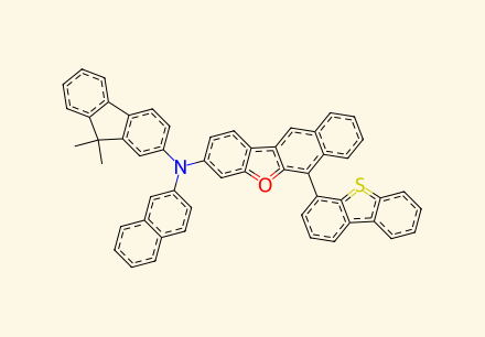 CC1(C)c2ccccc2-c2ccc(N(c3ccc4ccccc4c3)c3ccc4c(c3)oc3c(-c5cccc6c5sc5ccccc56)c5ccccc5cc34)cc21